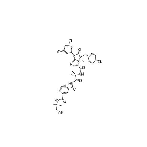 CC(C)(CO)NC(=O)c1ccnc(C2(NC(=O)C3(NC(=O)c4cnc5n4[C@](C)(Cc4ccc(C#N)cc4)C(=O)N5c4cc(Cl)cc(Cl)c4)CC3)CC2)c1